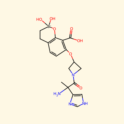 CC(N)(C(=O)N1CC(Oc2ccc3c(c2C(=O)O)O[B-](O)(O)CC3)C1)c1c[nH]cn1